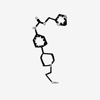 COCCN1CCC(c2ccc(NC(=O)OCc3cnco3)cc2)CC1